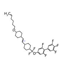 C=CCCCCOC1CCC(/C=C/C2CCC(C(F)(F)Oc3cc(F)c(-c4cc(F)c(F)c(F)c4)c(F)c3)CC2)CC1